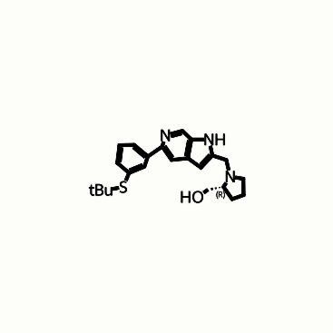 CC(C)(C)Sc1cccc(-c2cc3cc(CN4CCC[C@@H]4CO)[nH]c3cn2)c1